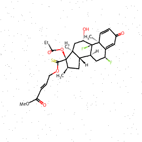 CCC(=O)O[C@]1(C(=S)OC/C=C/C(=O)OC)[C@H](C)C[C@H]2[C@@H]3C[C@H](F)C4=CC(=O)C=C[C@]4(C)[C@@]3(F)[C@@H](O)C[C@@]21C